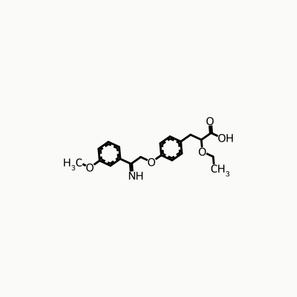 CCOC(Cc1ccc(OCC(=N)c2cccc(OC)c2)cc1)C(=O)O